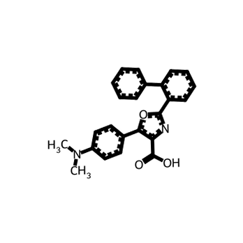 CN(C)c1ccc(-c2oc(-c3ccccc3-c3ccccc3)nc2C(=O)O)cc1